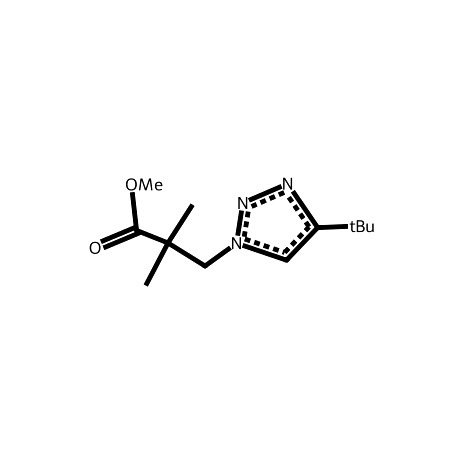 COC(=O)C(C)(C)Cn1cc(C(C)(C)C)nn1